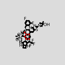 Cn1nc(NS(C)(=O)=O)c2cccc(-c3cc4sc(N5CC(C)(O)C5)nc4nc3[C@H](Cc3cc(F)cc(F)c3)NC(=O)Cn3nc(C(F)(F)F)c4c3C(F)(F)[C@@H]3CC[C@H]43)c21